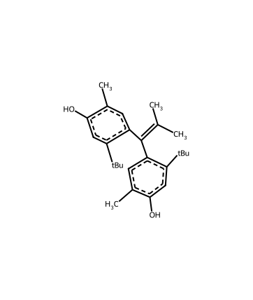 CC(C)=C(c1cc(C)c(O)cc1C(C)(C)C)c1cc(C)c(O)cc1C(C)(C)C